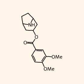 COc1ccc(C(=O)OC2CC3CCC(C2)N3)cc1OC